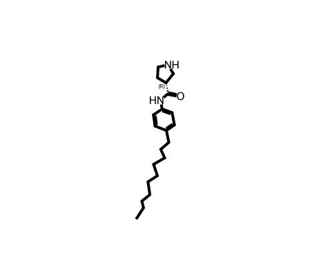 CCCCCCCCCCc1ccc(NC(=O)[C@@H]2CCNC2)cc1